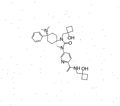 C=C(NCC1(O)CCC1)c1ccc(N2C[C@]3(CC[C@](c4ccccc4)(N(C)C)CC3)N(CC3(O)CCC3)C2=O)cn1